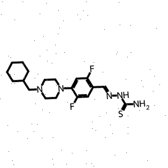 NC(=S)NN=Cc1cc(F)c(N2CCN(CC3CCCCC3)CC2)cc1F